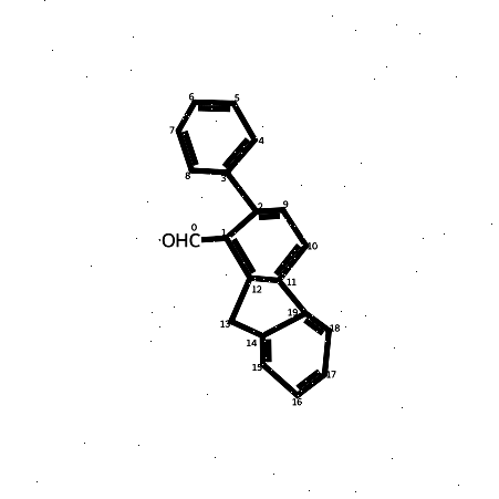 O=[C]c1c(-c2ccccc2)ccc2c1Cc1ccccc1-2